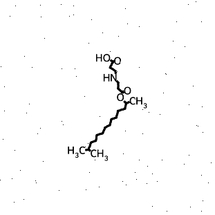 CC(C)CCCCCCCCCCC(C)OC(=O)CCNCCC(=O)O